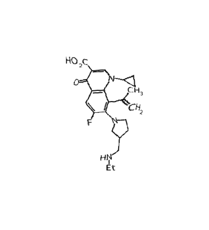 C=C(C)c1c(N2CCC(CNCC)C2)c(F)cc2c(=O)c(C(=O)O)cn(C3CC3)c12